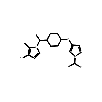 CCc1ccn(C(C)C2CCC(Oc3cnn(C(F)F)c3)CC2)c1C